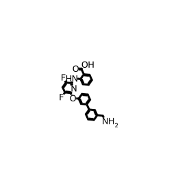 NCc1cccc(-c2cccc(Oc3nc(Nc4ccccc4C(=O)O)c(F)cc3F)c2)c1